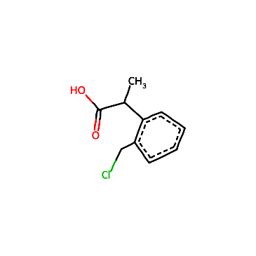 CC(C(=O)O)c1ccccc1CCl